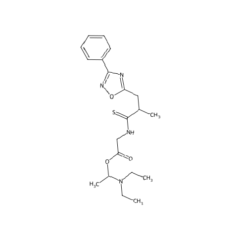 CCN(CC)C(C)OC(=O)CNC(=S)C(C)Cc1nc(-c2ccccc2)no1